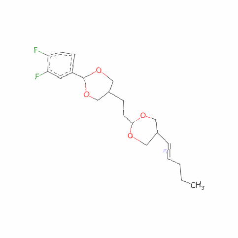 CCC/C=C/C1COC(CCC2COC(c3ccc(F)c(F)c3)OC2)OC1